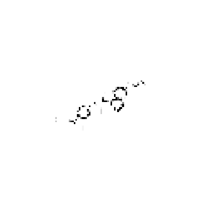 N=C(N)c1ccc(CNC(=O)c2cccc3cc(NC[C]=O)ccc23)cc1